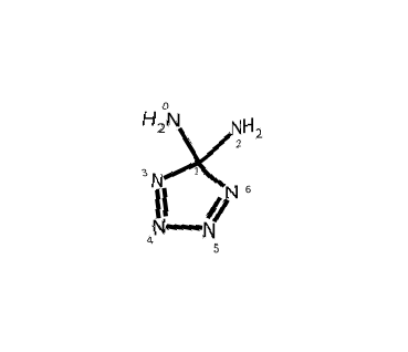 NC1(N)N=NN=N1